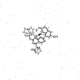 [2H]C([2H])(Oc1nc(N2CC3CCC2CN3)c2cnc(-c3cc(O)cc4ccc(F)c(C#C)c34)c(F)c2n1)[C@@]12CCCN1C[C@H](F)C2